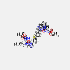 CCCN(Cc1ncc(-c2ccc3c(c2)sc2cc(-c4cnc([C@@H]5[C@H]6CC[C@H](C6)N5C(=O)CNC(=O)OC)[nH]4)ccc23)[nH]1)C(=O)CNC(=O)OC